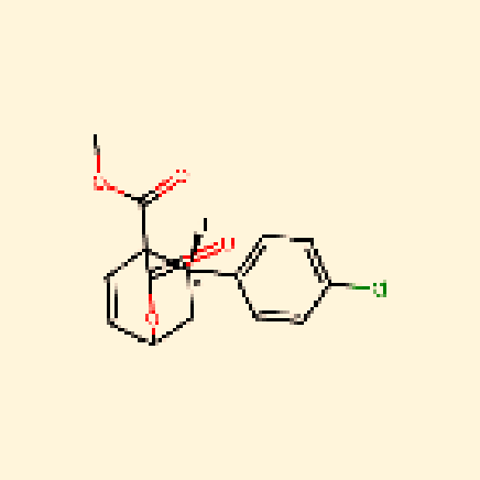 COC(=O)C12C=CC(C[C@H]1c1ccc(Cl)cc1)OC2=O